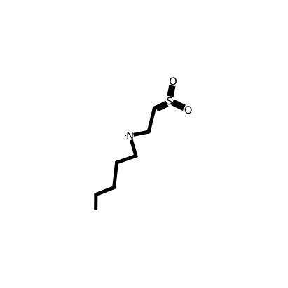 CCCCC[N]CC=S(=O)=O